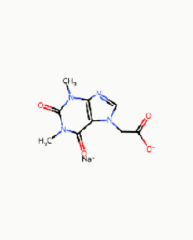 Cn1c(=O)c2c(ncn2CC(=O)[O-])n(C)c1=O.[Na+]